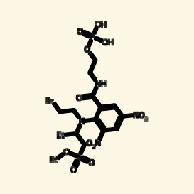 CCOS(=O)(=O)CC(CC)N(CCBr)c1c(C(=O)NCCOP(=O)(O)O)cc([N+](=O)[O-])cc1[N+](=O)[O-]